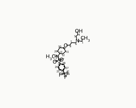 CCN(CCO)CCCOC1CCC(N(C)S(=O)(=O)c2ccc(C(F)(F)F)cc2)CC1